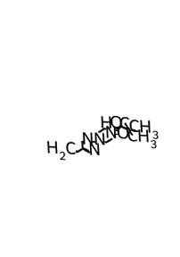 C=Cc1cnc(N2CCN(C(=O)OC(C)(C)C)CC2)nc1